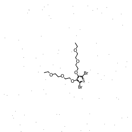 CCOCCOCCOc1c(Br)sc(Br)c1OCCOCCOCC